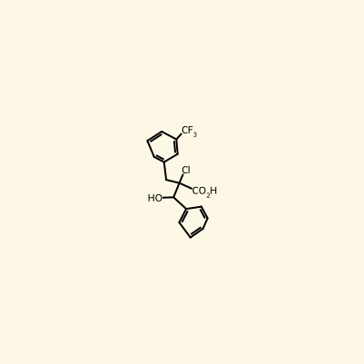 O=C(O)C(Cl)(Cc1cccc(C(F)(F)F)c1)C(O)c1ccccc1